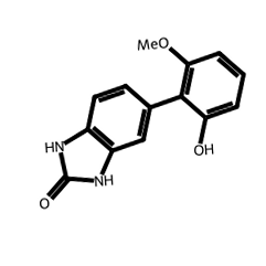 COc1cccc(O)c1-c1ccc2[nH]c(=O)[nH]c2c1